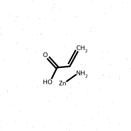 C=CC(=O)O.[NH2][Zn]